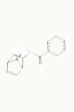 COC1(OC)C2C=CC1C(OC(=O)c1ccccc1)C2